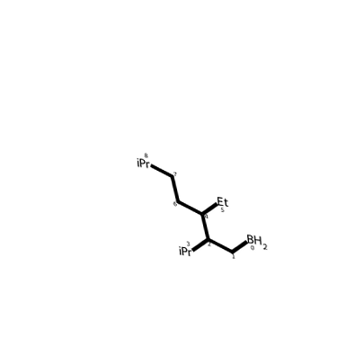 BCC(C(C)C)C(CC)CCC(C)C